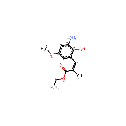 CCOC(=O)C(C)=Cc1cc(OC)cc(N)c1O